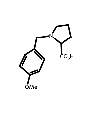 COc1ccc(CN2CCCC2C(=O)O)cc1